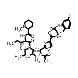 CCCN(C(=O)C(NC(=O)C1CCCCN1C)[C@@H](C)CC)[C@H](C[C@@H](OC(C)=O)c1nc(C(=O)N[C@@H](Cc2ccc(F)cc2)C(=O)O)cs1)C(C)C